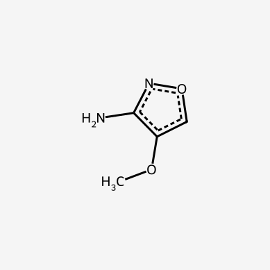 COc1conc1N